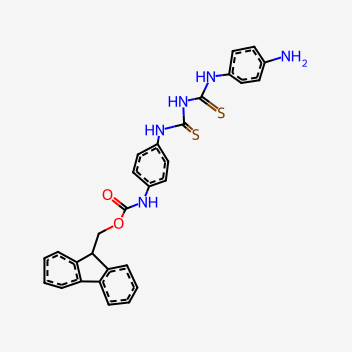 Nc1ccc(NC(=S)NC(=S)Nc2ccc(NC(=O)OCC3c4ccccc4-c4ccccc43)cc2)cc1